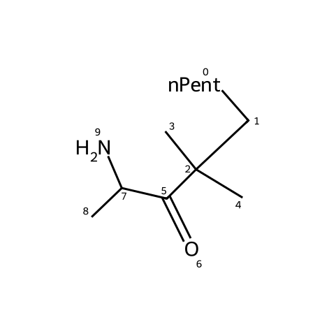 CCCCCCC(C)(C)C(=O)C(C)N